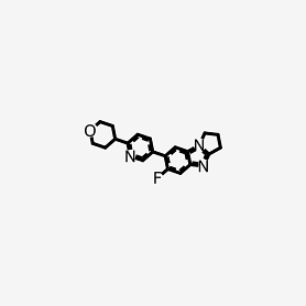 Fc1cc2nc3n(c2cc1-c1ccc(C2CCOCC2)nc1)CCC3